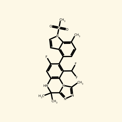 Cc1ccc(-c2c(F)cc3c(c2C(F)F)-n2c(C)nnc2C(C)(C)N3)c2ccn(S(C)(=O)=O)c12